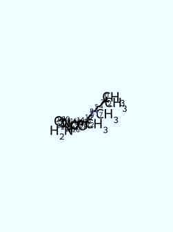 CC(C)=CCC/C(C)=C/CCC(C)c1cc2cc(N3CCOCC3)c(N)cc2o1